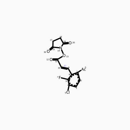 CC(=O)c1ccc(Cl)c(F)c1/C=C/C(=O)ON1C(=O)CCC1=O